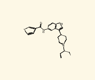 CCC(CC)N1CCC(c2c[nH]c3ccc(NC(=O)c4ccsc4)cc23)CC1